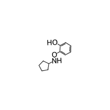 Oc1ccccc1ONC1CCCC1